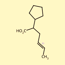 C/C=C/CC(C(=O)O)C1CCCC1